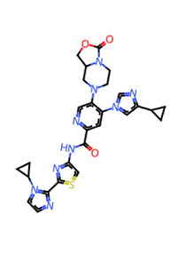 O=C(Nc1csc(-c2nccn2C2CC2)n1)c1cc(-n2cnc(C3CC3)c2)c(N2CCN3C(=O)OCC3C2)cn1